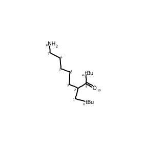 CC(C)(C)CC(CCCCCN)C(=O)C(C)(C)C